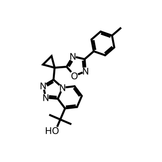 Cc1ccc(-c2noc(C3(c4nnc5c(C(C)(C)O)cccn45)CC3)n2)cc1